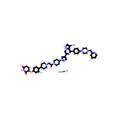 N#Cc1cnn2cc(-c3cnn(C4CCN(C(=O)CN5CCC(c6ccc(OC7CCC(=O)NC7=O)cc6F)CC5)CC4)c3)nc(-c3ccc(N4CCN(Cc5cc(F)ccn5)CC4)cc3)c12.O=CO